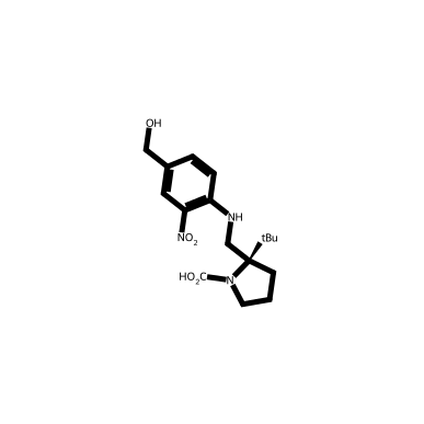 CC(C)(C)[C@@]1(CNc2ccc(CO)cc2[N+](=O)[O-])CCCN1C(=O)O